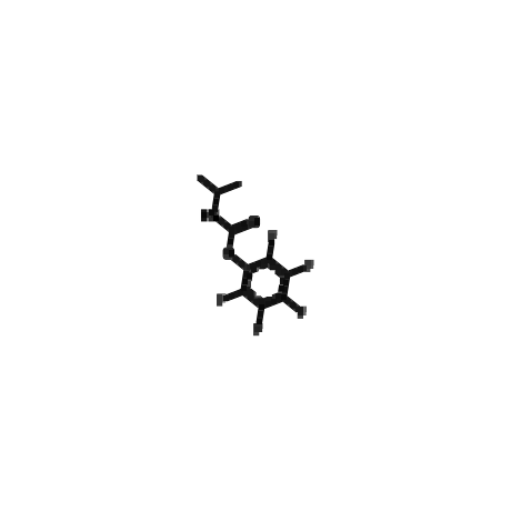 CC(C)NC(=O)Oc1c(F)c(F)c(F)c(F)c1F